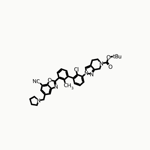 Cc1c(-c2nc3cc(CN4CCCC4)cc(C#N)c3o2)cccc1-c1cccc(-n2cc3c(n2)CN(C(=O)OC(C)(C)C)CC3)c1Cl